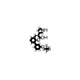 O=C(O)[C@@H](Cc1cccc(-c2cccc(OCC(F)(F)F)c2)c1)[C@H]1CCNC1